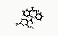 CC1CN(C)CC=C1C(=O)N1c2ccccc2NC(=O)c2ccccc21